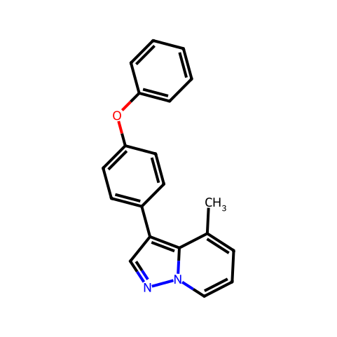 Cc1cccn2ncc(-c3ccc(Oc4ccccc4)cc3)c12